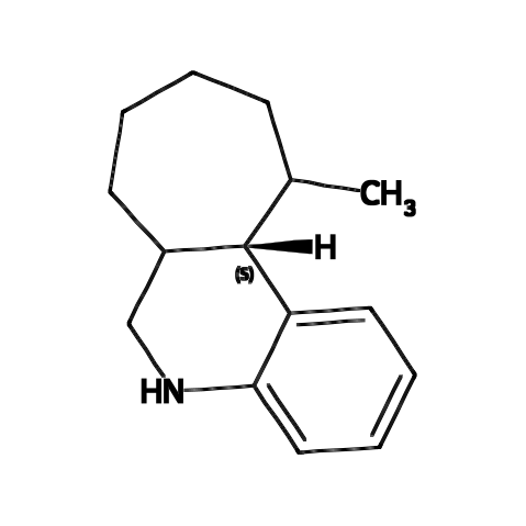 CC1CCCCC2CNc3ccccc3[C@@H]12